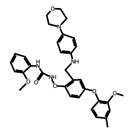 COc1ccccc1NC(=O)NOc1ccc(Oc2ccc(C)cc2OC)cc1CNc1ccc(N2CCOCC2)cc1